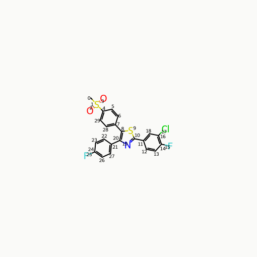 CS(=O)(=O)c1ccc(-c2sc(-c3ccc(F)c(Cl)c3)nc2-c2ccc(F)cc2)cc1